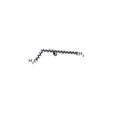 CCCCCCCC/C=C\CCCCCCC(C=O)CCCCCCCCCCCCCCCC